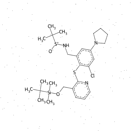 CC(C)(C)[S+]([O-])NCc1cc(N2CCCC2)cc(Cl)c1Sc1ncccc1CO[Si](C)(C)C(C)(C)C